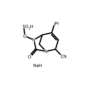 CC(C)C1=CC(C#N)N2CC1N(OS(=O)(=O)O)C2=O.[NaH]